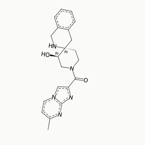 Cc1ccn2cc(C(=O)N3CC[C@]4(Cc5ccccc5CN4)[C@H](O)C3)nc2n1